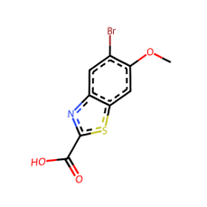 COc1cc2sc(C(=O)O)nc2cc1Br